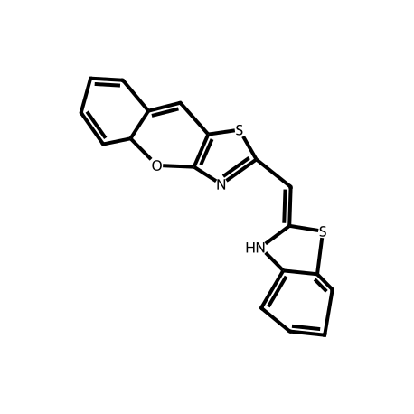 C1=CC2=Cc3sc(C=C4Nc5ccccc5S4)nc3OC2C=C1